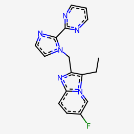 CCc1c(Cn2ccnc2-c2ncccn2)nc2ccc(F)cn12